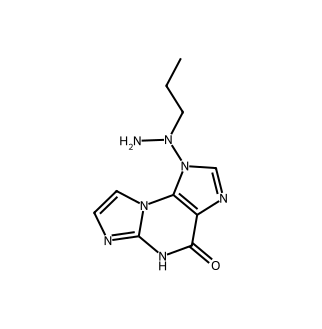 CCCN(N)n1cnc2c(=O)[nH]c3nccn3c21